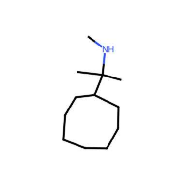 CNC(C)(C)C1CCCCCCC1